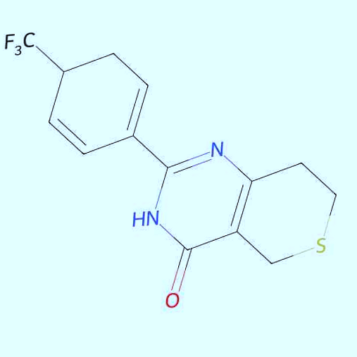 O=c1[nH]c(C2=CCC(C(F)(F)F)C=C2)nc2c1CSCC2